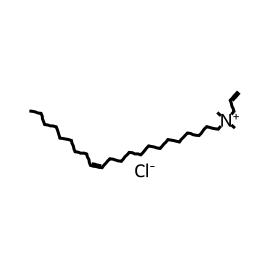 C=CC[N+](C)(C)CCCCCCCCCCCC/C=C\CCCCCCCC.[Cl-]